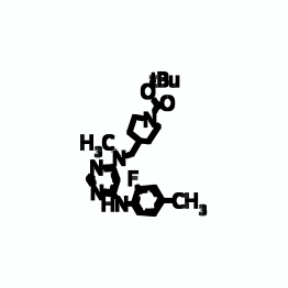 Cc1ccc(Nc2cc(N(C)CC3CCN(C(=O)OC(C)(C)C)CC3)ncn2)c(F)c1